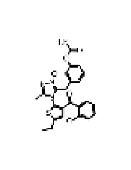 CCc1cc(C(=O)c2ccccc2Cl)c(-n2c(C)nnc2Cc2cccc(OC(N)=O)c2Cl)s1